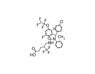 C[C@](c1cc(F)cc(OC(F)(F)C(F)F)c1)(c1ccc(Cl)cn1)N(C(=O)NCC(CCC(=O)O)C(F)(F)F)c1ccccc1